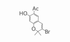 CC(=O)c1cc2c(cc1O)OC(C)(C)C(Br)=C2